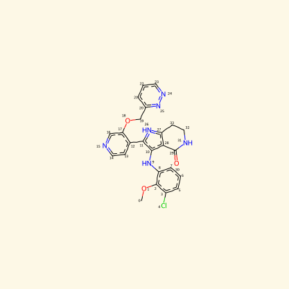 COc1c(Cl)cccc1Nc1c(-c2ccncc2OCc2cccnn2)[nH]c2c1C(=O)NCC2